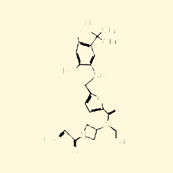 C=CC(=O)N1CC(N(CC)C(=O)c2ccc(CNc3cc(C(C)(C)C)c(Cl)cc3O)o2)C1